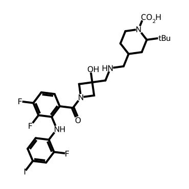 CC(C)(C)C1CC(CNCC2(O)CN(C(=O)c3ccc(F)c(F)c3Nc3ccc(I)cc3F)C2)CCN1C(=O)O